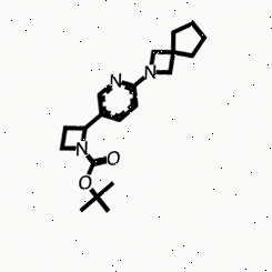 CC(C)(C)OC(=O)N1CCC1c1ccc(N2CC3(CCCC3)C2)nc1